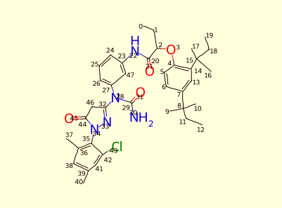 CCC(Oc1ccc(C(C)(C)CC)cc1C(C)(C)CC)C(=O)Nc1cccc(N(C(N)=O)C2=NN(c3c(C)cc(C)cc3Cl)C(=O)C2)c1